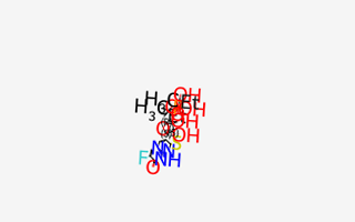 CCC(C)(C[C@H]1O[C@@H](c2cn3cc(F)c(=O)[nH]c3nc2=S)[C@@H](O)C1O)OP(=O)(O)C(C)(O)CC